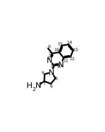 Cc1nc(N2CCC(N)C2)nc2ccccc12